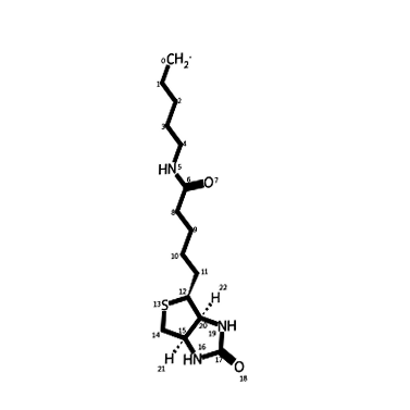 [CH2]CCCCNC(=O)CCCC[C@@H]1SC[C@@H]2NC(=O)N[C@@H]21